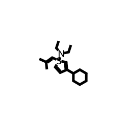 CCN(CC)S1(C=C(C)C)C=CC(C2CCCCC2)=C1